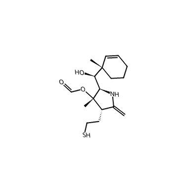 C=C1N[C@H]([C@@H](O)[C@]2(C)C=CCCC2)[C@@](C)(OC=O)[C@H]1CCS